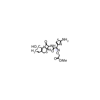 C=CC1=C(C(=O)O)N2C(=O)C(NC(=O)/C(=N\OCC(=O)OC)c3csc(N)n3)[C@@H]2SC1